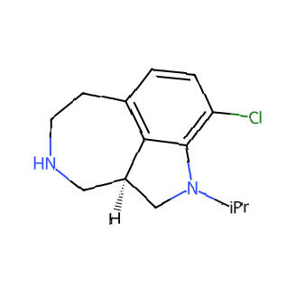 CC(C)N1C[C@H]2CNCCc3ccc(Cl)c1c32